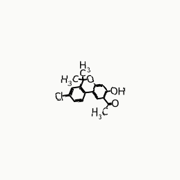 CC(=O)c1cc2c(cc1O)OC(C)(C)c1cc(Cl)ccc1-2